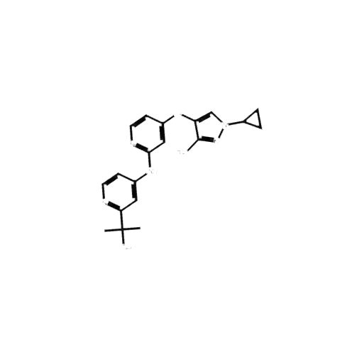 CC(C)(C)c1nn(C2CC2)cc1Oc1ccnc(Nc2ccnc(C(C)(C)O)c2)c1